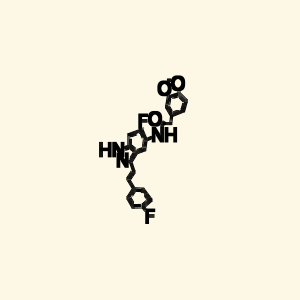 O=C(Cc1ccc2c(c1)OCO2)Nc1cc2c(/C=C/c3ccc(F)cc3)n[nH]c2cc1F